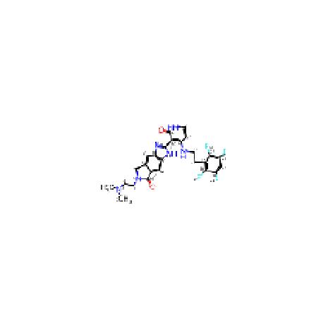 CN(C)CCN1Cc2cc3nc(-c4c(NCCc5c(F)c(F)cc(F)c5F)cc[nH]c4=O)[nH]c3cc2C1=O